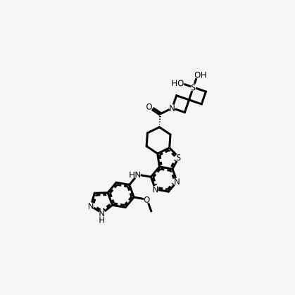 COc1cc2[nH]ncc2cc1Nc1ncnc2sc3c(c12)CC[C@H](C(=O)N1CC2(CCS2(O)O)C1)C3